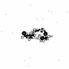 CCc1c2c(nc3cc[c]cc13)-c1cc3c(c(=O)n1C2)COC(=O)C3(CC)OC(=O)N(C)CCCCN1CCN(Cc2ccc(-n3c(O)nnc3-c3cc(C(C)C)c(O)cc3O)cc2)CC1